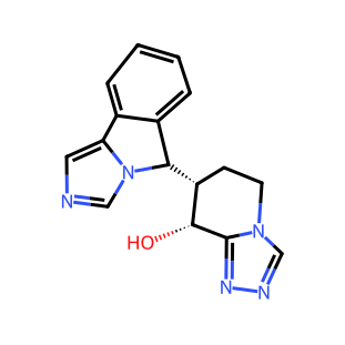 O[C@H]1c2nncn2CC[C@H]1C1c2ccccc2-c2cncn21